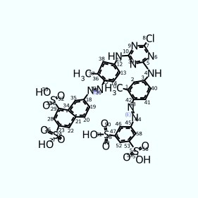 Cc1cc(Nc2nc(Cl)nc(Nc3ccc(/N=N/c4ccc5cc(S(=O)(=O)O)cc(S(=O)(=O)O)c5c4)c(C)c3)n2)ccc1/N=N/c1cc(S(=O)(=O)O)cc(S(=O)(=O)O)c1